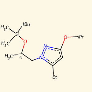 CCc1cc(OC(C)C)nn1C[C@H](C)O[Si](C)(C)C(C)(C)C